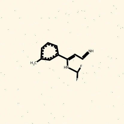 Cc1cccc(/C(=C/C=N)NC(F)F)c1